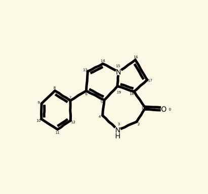 O=C1CNCc2c(-c3ccccc3)ccn3ccc1c23